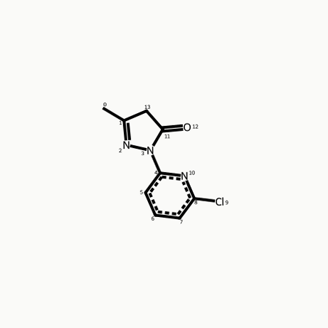 CC1=NN(c2cccc(Cl)n2)C(=O)C1